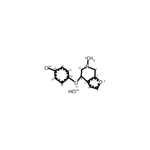 CN1Cc2occc2C(Oc2ccc(Cl)cc2)C1.Cl